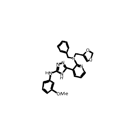 COc1cccc(Nc2nnc(-c3cccnc3N(CC3=COCO3)Cc3ccccc3)[nH]2)c1